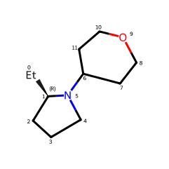 CC[C@@H]1CCCN1C1CCOCC1